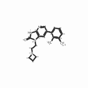 Cc1c(-c2cnc3[nH]c(=O)n(CCN4CCC4)c3c2)cccc1C(F)(F)F